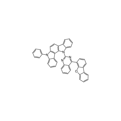 c1ccc(-n2c3ccccc3c3c2ccc2c4ccccc4n(-c4nc(-c5cccc6c5oc5ccccc56)c5ccccc5n4)c23)cc1